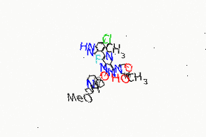 COC1CC(N2CCC[C@@]3(COc4nc(N5CCOC[C@@](C)(O)C5)c5cnc(-c6c(C)c(Cl)cc7[nH]ncc67)c(F)c5n4)CCC[C@@H]23)C1